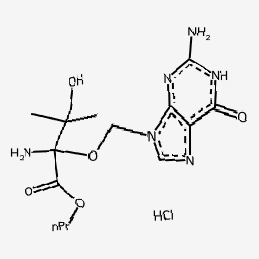 CCCOC(=O)C(N)(OCn1cnc2c(=O)[nH]c(N)nc21)C(C)(C)O.Cl